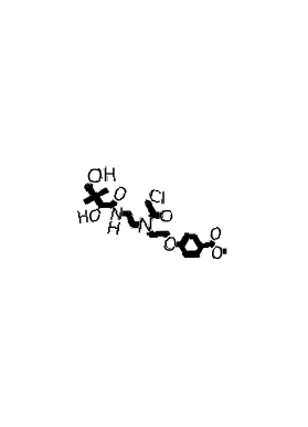 COC(=O)c1ccc(OCCN(CCNC(=O)[C@H](O)C(C)(C)CO)C(=O)CCl)cc1